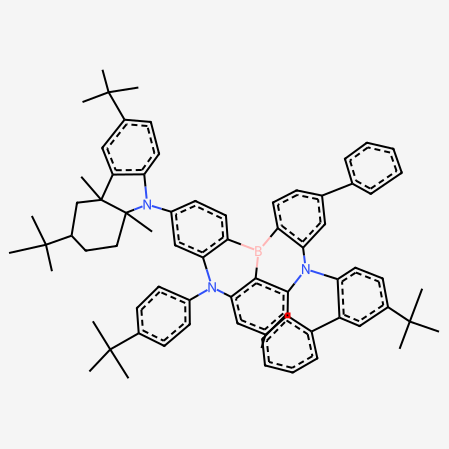 Cc1cc2c3c(c1)N(c1ccc(C(C)(C)C)cc1-c1ccccc1)c1cc(-c4ccccc4)ccc1B3c1ccc(N3c4ccc(C(C)(C)C)cc4C4(C)CC(C(C)(C)C)CCC34C)cc1N2c1ccc(C(C)(C)C)cc1